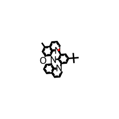 Cc1cc(C(C)(C)C)cc(C)c1N1c2c(ccc3cccnc23)Oc2cc(C)c3cccnc3c21